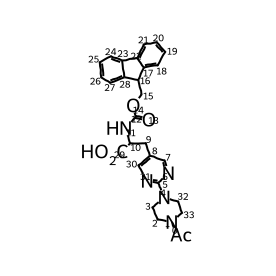 CC(=O)N1CCN(c2ncc(CC(NC(=O)OCC3c4ccccc4-c4ccccc43)C(=O)O)cn2)CC1